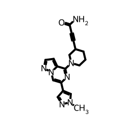 Cn1cc(-c2cn3nccc3c(N3CCCC(C#CC(N)=O)C3)n2)cn1